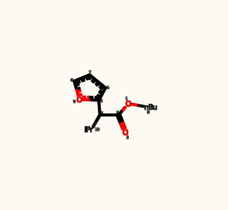 CCCCOC(=O)C(c1ccco1)C(C)C